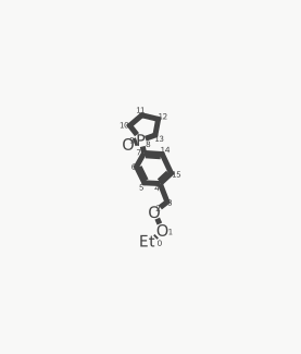 CCOOCc1ccc(P2(=O)CCCC2)cc1